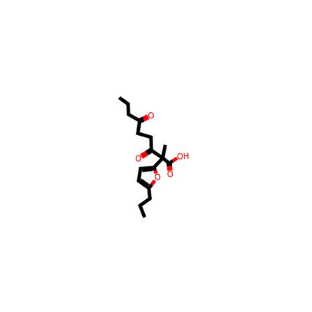 CCCC(=O)CCC(=O)C(C)(C(=O)O)c1ccc(CCC)o1